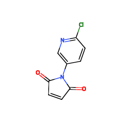 O=C1C=CC(=O)N1c1ccc(Cl)nc1